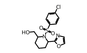 O=S(=O)(c1ccc(Cl)cc1)N1C(CO)CCCC1c1ncco1